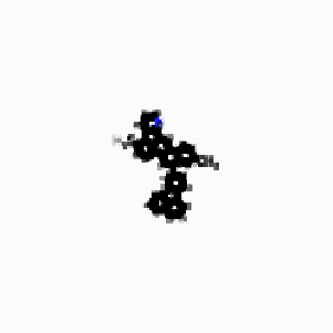 Cc1ccc2c(c1)c(-c1ccc3c(c1)-c1cccc4cccc-3c14)cc1c3ccc(C)c4c3c(cc21)-c1ncccc1-4